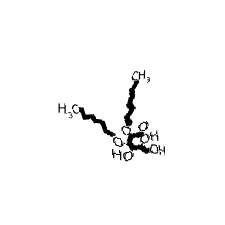 CCCCCCCCO[C@@H]([C@H](O)[C@H](O)CO)[C@H](C=O)OCCCCCCCC